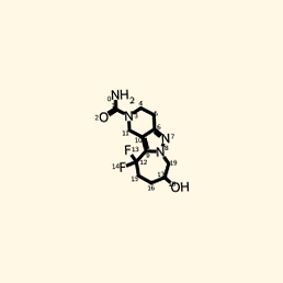 NC(=O)N1CCc2nn3c(c2C1)C(F)(F)CCC(O)C3